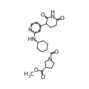 COC(=O)[C@@H]1CCN(C(=O)[C@H]2CC[C@H](Nc3cc(C4CCC(=O)NC4=O)ccn3)CC2)C1